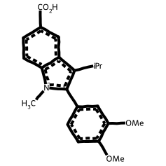 COc1ccc(-c2c(C(C)C)c3cc(C(=O)O)ccc3n2C)cc1OC